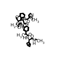 CCNC(=O)[C@H](NC(=O)C(C)c1ccc2nc([C@@H](NC(=O)c3ccnn3C)[C@]3(C[SiH2]C)c4ccccc4OCC3C)[nH]c2c1)C12CCC(C1)C2